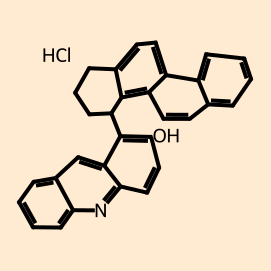 Cl.Oc1ccc2nc3ccccc3cc2c1C1CCCc2ccc3c(ccc4ccccc43)c21